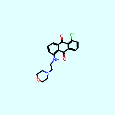 O=C1c2cccc(NCCN3CCOCC3)c2C(=O)c2cccc(Cl)c21